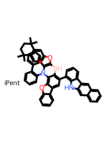 CCC[C@H](C)c1ccc(N2c3c(oc4cc5c(cc34)C(C)(C)CCC5(C)C)Bc3c(-c4cccc5c4[nH]c4cc6ccccc6cc45)cc4c(oc5ccccc54)c32)c(-c2ccccc2)c1